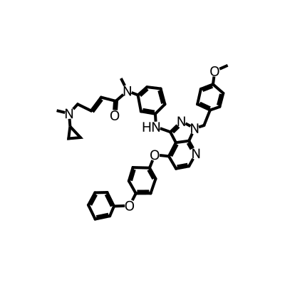 COc1ccc(Cn2nc(Nc3cccc(N(C)C(=O)/C=C/CN(C)C4CC4)c3)c3c(Oc4ccc(Oc5ccccc5)cc4)ccnc32)cc1